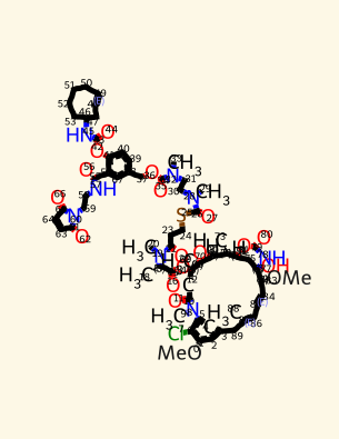 COc1cc2cc(c1Cl)N(C)C(=O)C[C@H](OC(=O)[C@H](C)N(C)C(=O)CCSC(=O)N(C)CCN(C)C(=O)OCc1ccc(OC(=O)NC3C/C=C/CCCC3)c(C(=O)NCCN3C(=O)C=CC3=O)c1)[C@]1(C)O[C@H]1[C@H](C)[C@@H]1C[C@@](O)(NC(=O)O1)[C@H](OC)/C=C/C=C(\C)C2